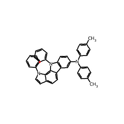 Cc1ccc(N(c2ccc(C)cc2)c2ccc3c(c2)c2ccc4ccn(-c5ccccc5)c4c2n3-c2ccccc2)cc1